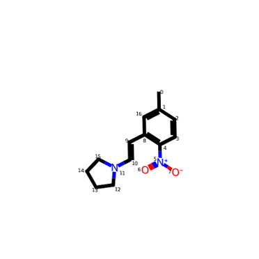 Cc1ccc([N+](=O)[O-])c(/C=C/N2CCCC2)c1